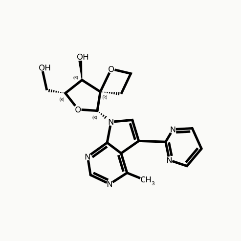 Cc1ncnc2c1c(-c1ncccn1)cn2[C@@H]1O[C@H](CO)[C@@H](O)[C@]12CCO2